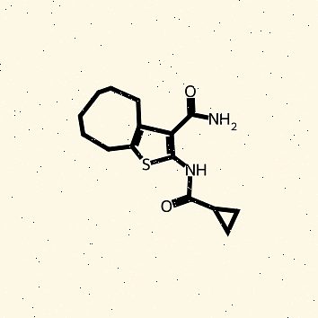 NC(=O)c1c(NC(=O)C2CC2)sc2c1CCCCCC2